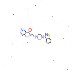 O=C1c2cncnc2CCN1CCN1CCN(c2nsc3ccccc23)CC1